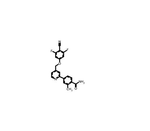 Cc1cc(-c2cc(COc3cc(F)c(C#N)c(F)c3)ccn2)ccc1C(N)=O